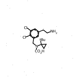 CC(C)(C)C1(N(Cc2cc(CCN)cc(Cl)c2Cl)C(=O)O)CC1